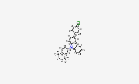 CC1(C)CCC(C)(C)c2cc(N3C4=CC=CCC4c4cc(-c5ccc(Cl)cc5)ccc43)ccc21